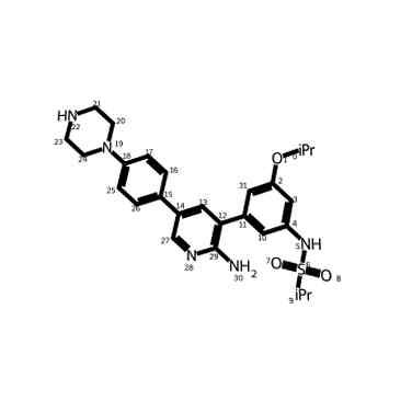 CC(C)Oc1cc(NS(=O)(=O)C(C)C)cc(-c2cc(-c3ccc(N4CCNCC4)cc3)cnc2N)c1